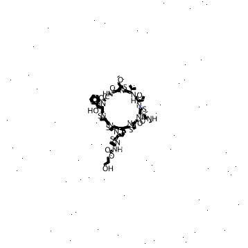 CCC1/N=C(\SC)[C@H](CC(=O)NC)NC(=O)c2csc(n2)-c2ccc(-c3nc(NC(=O)OCCCO)cs3)nc2-c2csc(n2)-c2csc(n2)[C@H]([C@@H](O)c2ccccc2)NC(=O)CNC(=O)c2nc(sc2COC)[C@H](C(C)C)NC1=O